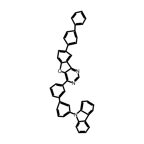 c1ccc(-c2ccc(-c3ccc4oc5c(-c6cccc(-c7cccc(-n8c9ccccc9c9ccccc98)c7)c6)ncnc5c4c3)cc2)cc1